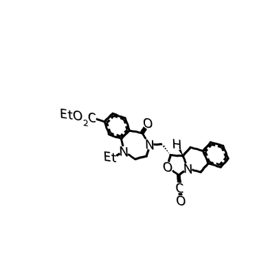 CCOC(=O)c1ccc2c(c1)N(CC)CCN(C[C@H]1OC(=C=O)N3Cc4ccccc4C[C@@H]13)C2=O